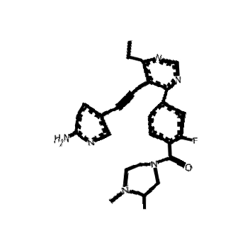 CCc1ncnc(-c2ccc(C(=O)N3CCN(C)C(C)C3)c(F)c2)c1C#Cc1ccc(N)nc1